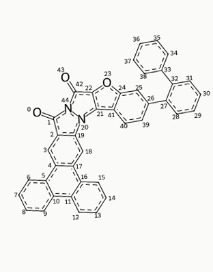 O=c1c2cc3c4ccccc4c4ccccc4c3cc2n2c3c(oc4cc(-c5ccccc5-c5ccccc5)ccc43)c(=O)n12